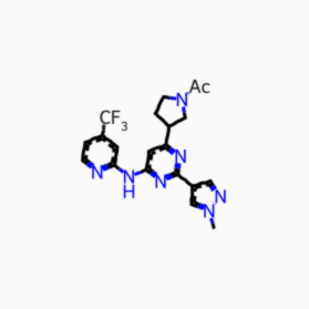 CC(=O)N1CCC(c2cc(Nc3cc(C(F)(F)F)ccn3)nc(-c3cnn(C)c3)n2)C1